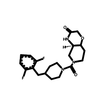 O=C1COC2CCN(C(=O)N3CCC(Cc4c(F)cccc4F)CC3)C[C@H]2N1